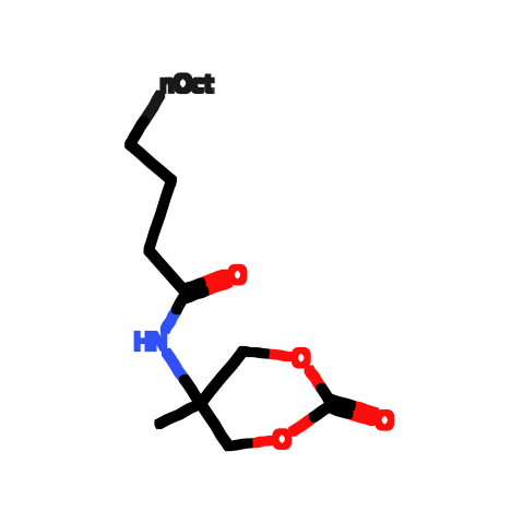 CCCCCCCCCCCC(=O)NC1(C)COC(=O)OC1